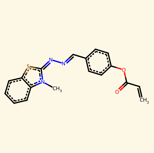 C=CC(=O)Oc1ccc(C=NN=c2sc3ccccc3n2C)cc1